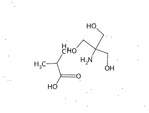 CC(C)C(=O)O.NC(CO)(CO)CO